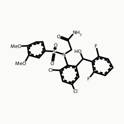 COc1ccc(S(=O)(=O)N(CC(N)=O)c2c(Cl)cc(Cl)cc2C(O)c2c(F)cccc2F)cc1OC